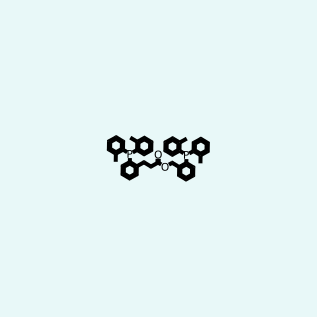 Cc1ccccc1P(c1ccccc1C)c1ccccc1CCC(=O)OCc1ccccc1P(c1ccccc1C)c1ccccc1C